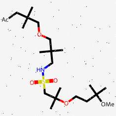 COC(C)(C)CCOC(C)(C)CS(=O)(=O)NCC(C)(C)COCC(C)(C)CC(C)=O